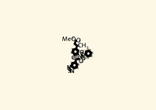 COC(=O)CC(C)c1ccc(OC(C(=O)NS(=O)(=O)c2ccccc2)c2ccc3nsnc3c2)cc1